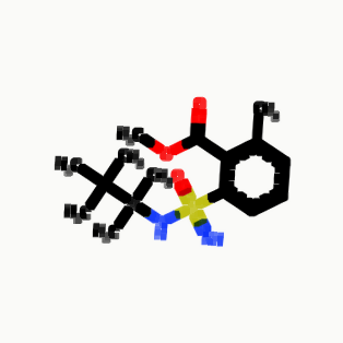 COC(=O)c1c(C)cccc1S(=N)(=O)N[Si](C)(C)C(C)(C)C